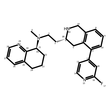 CN(CC[C@H]1Cc2c(cccc2-c2ccnc(F)c2)CN1)[C@H]1CCCc2cccnc21